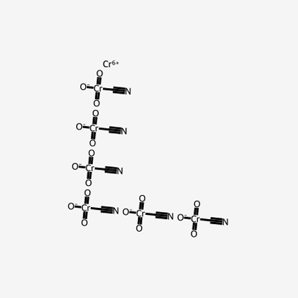 N#[C][Cr](=[O])(=[O])[O-].N#[C][Cr](=[O])(=[O])[O-].N#[C][Cr](=[O])(=[O])[O-].N#[C][Cr](=[O])(=[O])[O-].N#[C][Cr](=[O])(=[O])[O-].N#[C][Cr](=[O])(=[O])[O-].[Cr+6]